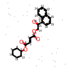 O=C(/C=C/C(=O)OC1CCCCC1)OCC(=O)c1cccc2ccccc12